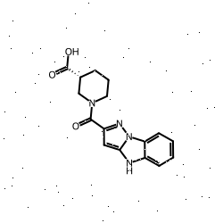 O=C(O)[C@@H]1CCCN(C(=O)c2cc3[nH]c4ccccc4n3n2)C1